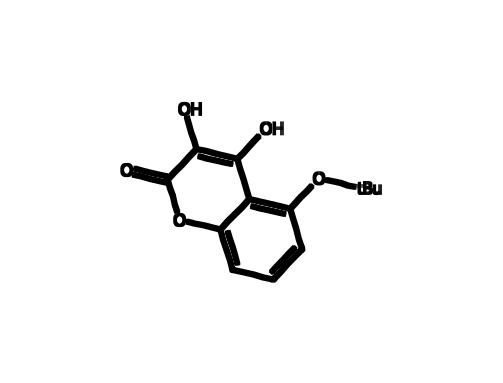 CC(C)(C)Oc1cccc2oc(=O)c(O)c(O)c12